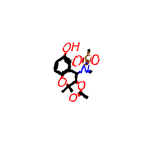 CC(=O)OC1C(N(C)S(C)(=O)=O)c2cc(O)ccc2OC1(C)C